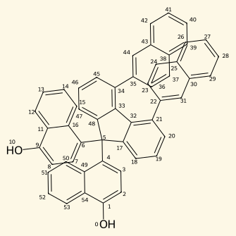 Oc1ccc(C2(c3ccc(O)c4ccccc34)c3cccc(-c4ccc5ccccc5c4)c3-c3c(-c4ccc5ccccc5c4)cccc32)c2ccccc12